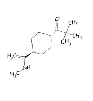 C=C(NC)[C@H]1CC[C@H](C(=O)C(C)(C)C)CC1